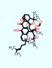 CC(C)=CCC[C@]1(C)C=Cc2c(O)c3c(c(C(O)C4OC4(C)C)c2O1)O[C@]12C(=CC4CC1C(C)(C)OC2(C/C=C(/C)OC=O)C4=O)C3=O